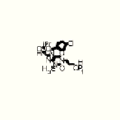 CC(C)S(=O)(=O)Nc1nc2c(c(=O)n(CCCOPI)c(=O)n2C)n1Cc1ccc(Cl)cc1